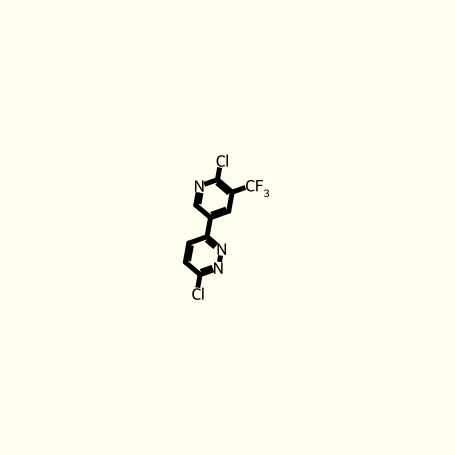 FC(F)(F)c1cc(-c2ccc(Cl)nn2)cnc1Cl